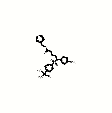 Cc1ccc(N(CCCC(=O)NCc2ccncc2)S(=O)(=O)c2ccc(C(C)(C)C)cc2)cc1